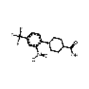 O=C(O)C1CCN(c2ccc(C(F)(F)F)cc2[N+](=O)[O-])CC1